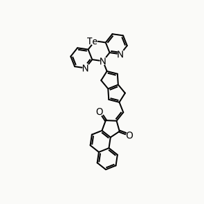 O=C1/C(=C\C2=CC3=C(C=C(N4c5ncccc5[Te]c5cccnc54)C3)C2)C(=O)c2c1ccc1ccccc21